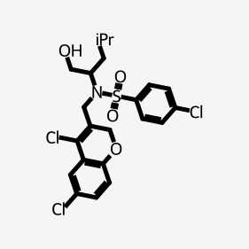 CC(C)CC(CO)N(CC1=C(Cl)c2cc(Cl)ccc2OC1)S(=O)(=O)c1ccc(Cl)cc1